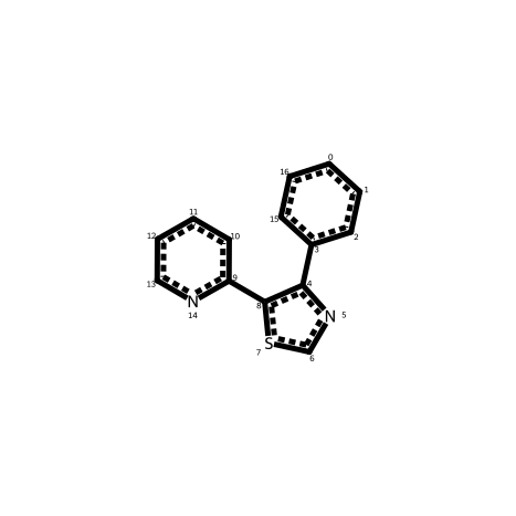 c1ccc(-c2ncsc2-c2ccccn2)cc1